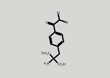 CCOC(=O)C(N)(Cc1ccc(C(=O)C(Br)CC)cc1)C(=O)OCC